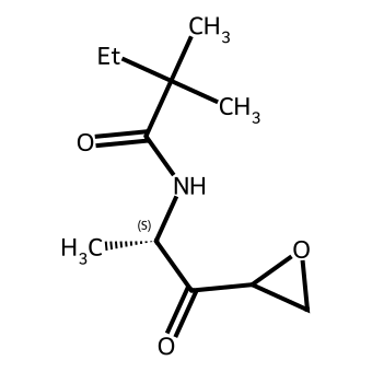 CCC(C)(C)C(=O)N[C@@H](C)C(=O)C1CO1